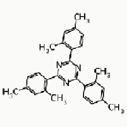 Cc1ccc(-c2nc(-c3ccc(C)cc3C)nc(-c3ccc(C)cc3C)n2)c(C)c1